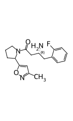 Cc1cc(C2CCCN2C(=O)C[C@H](N)Cc2ccccc2F)on1